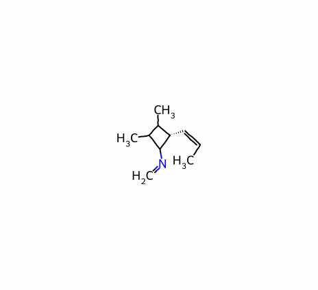 C=NC1C(C)C(C)[C@@H]1/C=C\C